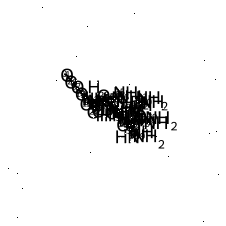 COCCOCCOCCOCCNC(=O)C(CCC(=O)O)NC(=O)CNC(=O)C(CCCNC(=N)N)NC(=O)CNC(=O)CNC(=O)CNC(=O)C(CCCNC(=N)N)NC(=O)[C@@H](CCCNC(=N)N)NC(=O)C(CCCNC(=N)N)NC(C)=O